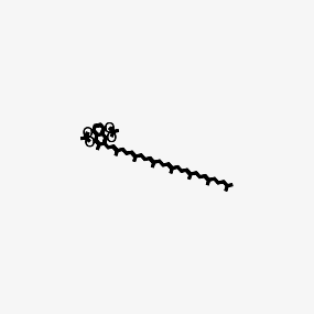 CC(=O)Oc1c(C)c(C/C=C(\C)CC/C=C(\C)CC/C=C(\C)CC/C=C(\C)CC/C=C(\C)CC/C=C(\C)CCCC(C)C)c(OC(C)=O)c2ccccc12